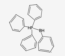 B(c1cc[c]cc1)[PH](c1ccccc1)(c1ccccc1)c1ccccc1